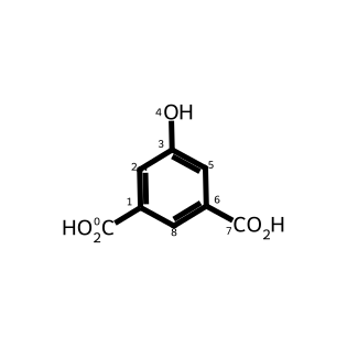 O=C(O)c1[c]c(O)cc(C(=O)O)c1